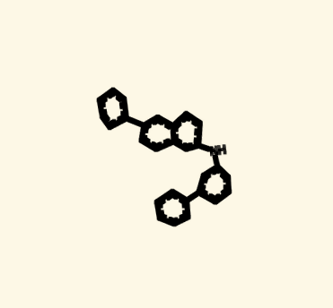 c1ccc(-c2cccc(Nc3ccc4cc(-c5ccccc5)ccc4c3)c2)cc1